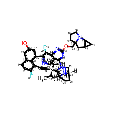 CC(C)[Si](C#Cc1c(F)ccc2cc(O)cc(-c3ncc4c(N5C[C@H]6CC[C@@H](C5)N6)nc(OCC56CCCN5C5CC5C6)nc4c3F)c12)(C(C)C)C(C)C